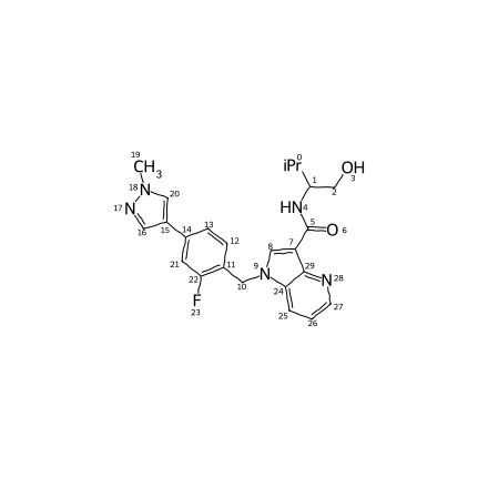 CC(C)C(CO)NC(=O)c1cn(Cc2ccc(-c3cnn(C)c3)cc2F)c2cccnc12